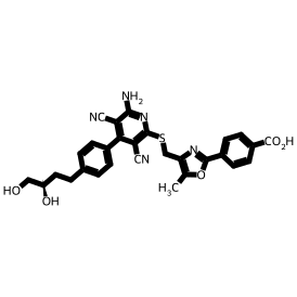 Cc1oc(-c2ccc(C(=O)O)cc2)nc1CSc1nc(N)c(C#N)c(-c2ccc(CC[C@@H](O)CO)cc2)c1C#N